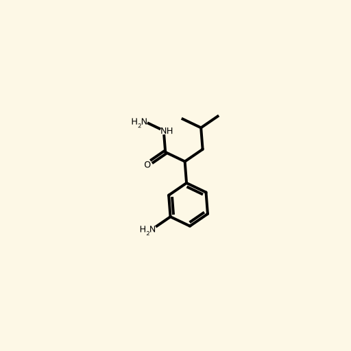 CC(C)CC(C(=O)NN)c1cccc(N)c1